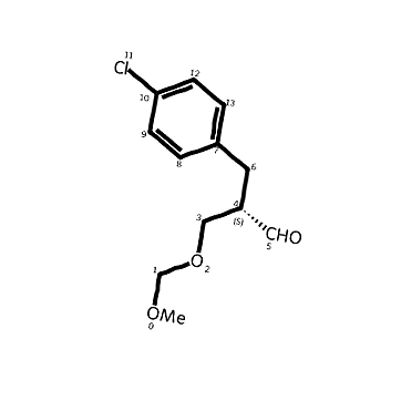 COCOC[C@@H](C=O)Cc1ccc(Cl)cc1